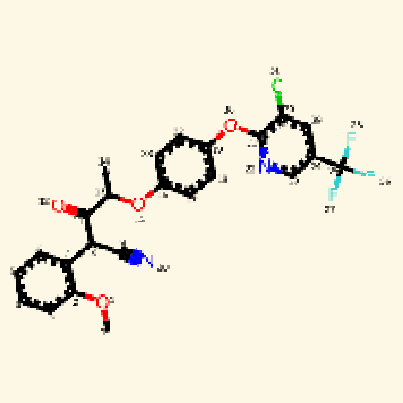 COc1ccccc1C(C#N)C(=O)C(C)Oc1ccc(Oc2ncc(C(F)(F)F)cc2Cl)cc1